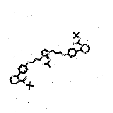 CC(=O)N=c1n(CCCOc2ccc(C3=NCCCN3C(=O)OC(C)(C)C)cc2)ccn1CCCOc1ccc(C2=NCCCN2C(=O)OC(C)(C)C)cc1